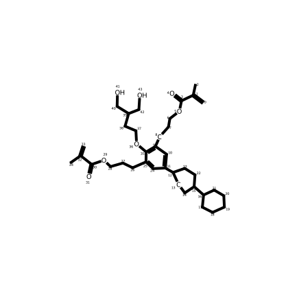 C=C(C)C(=O)OCCCc1cc(C2CCC(C3CCCCC3)CC2)cc(CCCOC(=O)C(=C)C)c1OCCC(CO)CO